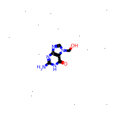 Nc1nc2ncn(CO)c2c(=O)[nH]1